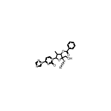 CC1C(n2ccc(-n3cncn3)nc2=O)OC(CO)(N=[N+]=[N-])C1OC(=O)c1ccccc1